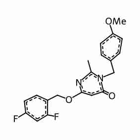 COc1ccc(Cn2c(C)nc(OCc3ccc(F)cc3F)cc2=O)cc1